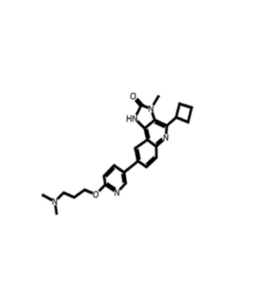 CN(C)CCCOc1ccc(-c2ccc3nc(C4CCC4)c4c([nH]c(=O)n4C)c3c2)cn1